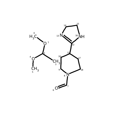 COC(C)OC.O=CN1CCC(C2=NCCN2)CC1